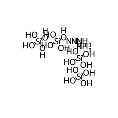 N.N.N.N.O[Si](O)(O)O.O[Si](O)(O)O.O[Si](O)(O)O.O[Si](O)(O)O